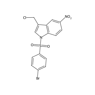 O=[N+]([O-])c1ccc2c(c1)c(CCl)cn2S(=O)(=O)c1ccc(Br)cc1